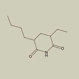 CCCCC1CC(CC)C(=O)NC1=O